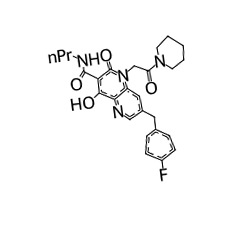 CCCNC(=O)c1c(O)c2ncc(Cc3ccc(F)cc3)cc2n(CC(=O)N2CCCCC2)c1=O